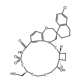 O=C1NS(=O)(=O)C[C@H](CO)CCCC[C@H](O)[C@@H]2CC[C@H]2CN2C[C@@]3(CCCc4cc(Cl)ccc43)COc3ccc1cc32